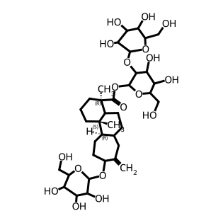 C=C1CC2CCC3[C@](C)(C(=O)OC4OC(CO)C(O)C(O)C4OC4OC(CO)C(O)C(O)C4O)CCC[C@@]3(C)[C@@H]2CCC1OC1OC(CO)C(O)C(O)C1O